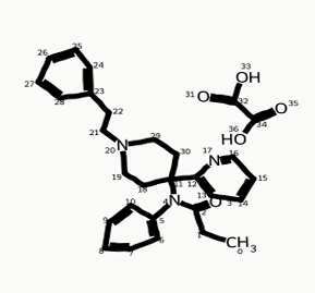 CCC(=O)N(c1ccccc1)C1(c2ccccn2)CCN(CCc2ccccc2)CC1.O=C(O)C(=O)O